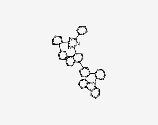 c1ccc(-c2nc(-c3ccccc3-c3ccccc3)nc(-c3ccc(-c4cccc(-c5ccccc5-n5c6ccccc6c6ccccc65)c4)c4ccccc34)n2)cc1